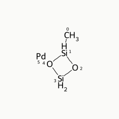 C[SiH]1O[SiH2]O1.[Pd]